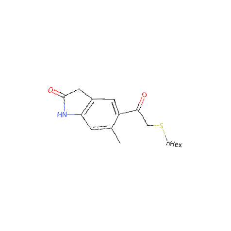 CCCCCCSCC(=O)c1cc2c(cc1C)NC(=O)C2